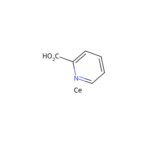 O=C(O)c1ccccn1.[Ce]